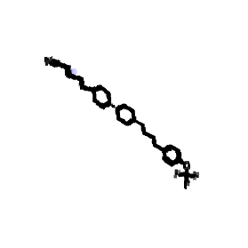 N#C/C=C/CCC1CCC([C@H]2CC[C@H](CCCCc3ccc(OC(F)(F)F)cc3)CC2)CC1